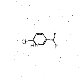 FC(F)C1=CNC(Cl)C=C1